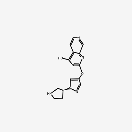 Oc1nc(Oc2cnn([C@H]3CCNC3)c2)nc2cnccc12